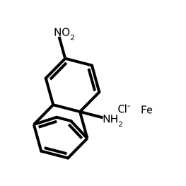 NC12C=CC([N+](=O)[O-])=CC1c1ccc2cc1.[Cl-].[Fe]